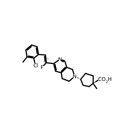 Cc1cccc(/C=C(\F)c2cc3c(cn2)CN([C@H]2CC[C@](C)(C(=O)O)CC2)CC3)c1Cl